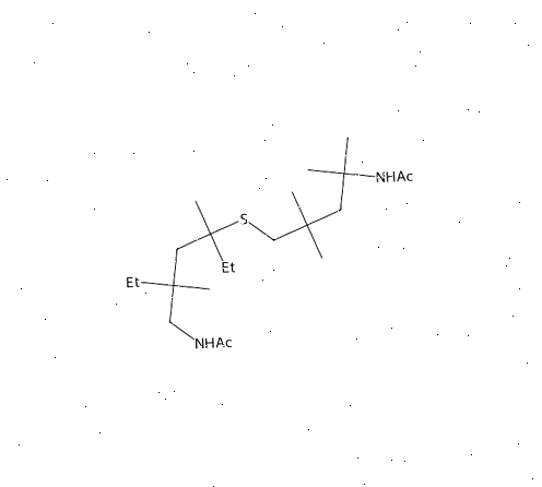 CCC(C)(CNC(C)=O)CC(C)(CC)SCC(C)(C)CC(C)(C)NC(C)=O